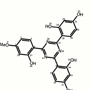 COc1ccc(-c2nc(-c3ccc(O)cc3O)nc(-c3ccc(O)cc3O)n2)c(O)c1